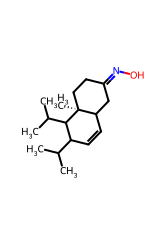 CC(C)C1C=CC2C/C(=N\O)CC[C@]2(C)C1C(C)C